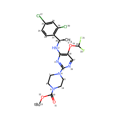 C[C@@H](Nc1nc(N2CCN(C(=O)OC(C)(C)C)CC2)ncc1OC(F)F)c1ccc(Cl)cc1Cl